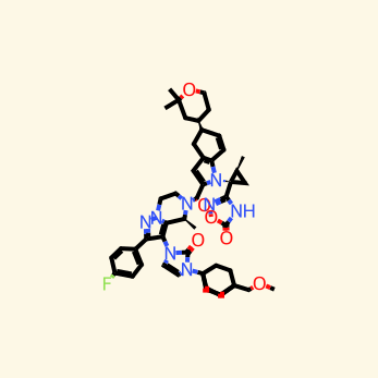 COCC12CCC(n3ccn(-c4c(-c5ccc(F)cc5)nn5c4[C@H](C)N(C(=O)c4cc6c(n4[C@@]4(c7noc(=O)[nH]7)C[C@@H]4C)C=CC([C@@H]4CCOC(C)(C)C4)C6)CC5)c3=O)(CC1)CC2